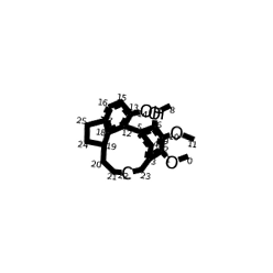 COc1c2cc(c(OC)c1OC)-c1c(O)ccc3c1C(CCCC2)CC3